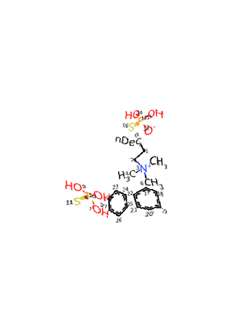 CCCCCCCCCCCC[N+](C)(C)C.OP(O)(O)=S.[O-]P(O)(O)=S.c1ccccc1.c1ccccc1